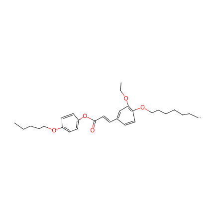 [CH2]CCCCCCOc1ccc(/C=C/C(=O)Oc2ccc(OCCCCC)cc2)cc1OCC